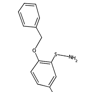 CC(C)c1ccc(OCc2ccccc2)c(SN)c1